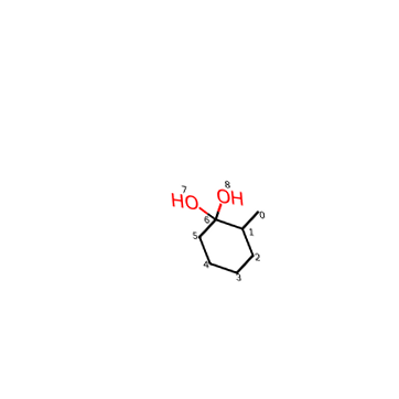 CC1CCCCC1(O)O